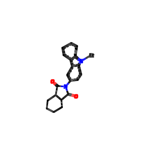 CCn1c2ccccc2c2cc(N3C(=O)C4CCCCC4C3=O)ccc21